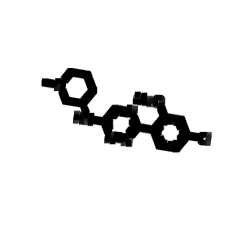 COc1cc(Cl)ccc1-c1ncc(N[C@@H]2CCCN(C)C2)nn1